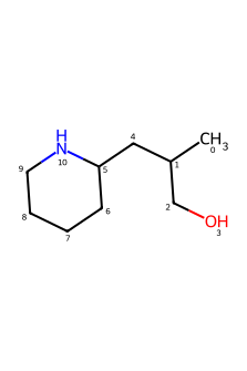 CC(CO)CC1CCCCN1